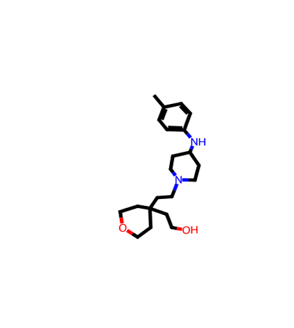 Cc1ccc(NC2CCN(CCC3(CCO)CCOCC3)CC2)cc1